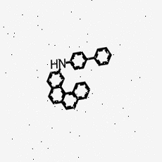 c1ccc(-c2ccc(Nc3ccc4ccc5ccc6ccccc6c5c4c3)cc2)cc1